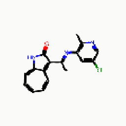 C/C(=N\c1cc(Cl)cnc1C)c1c2cccccc-2[nH]c1=O